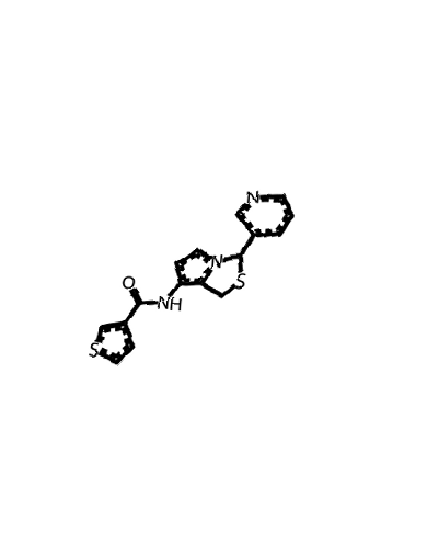 O=C(Nc1ccn2c1CSC2c1cccnc1)c1ccsc1